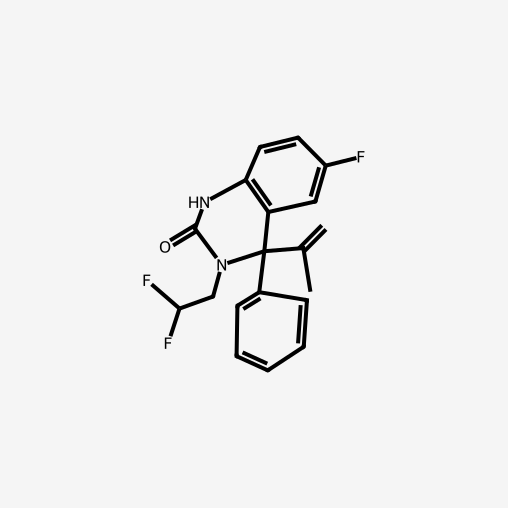 C=C(C)C1(c2ccccc2)c2cc(F)ccc2NC(=O)N1CC(F)F